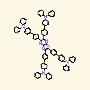 c1ccc(N(c2ccccc2)c2ccc(-c3ccc(-c4nc5nc(-c6ccc(-c7ccc(N(c8ccccc8)c8ccccc8)cc7)cc6)c(-c6ccc(-c7ccc(N(c8ccccc8)c8ccccc8)cc7)cc6)nc5nc4-c4ccc(-c5ccc(N(c6ccccc6)c6ccccc6)cc5)cc4)cc3)cc2)cc1